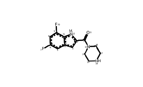 O=C(c1cc2cc(F)cc(F)c2[nH]1)N1CCNCC1